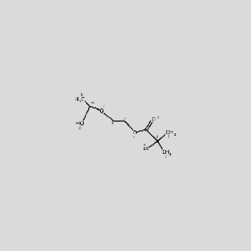 CCC(C)(C)C(=O)OCCOC(C)O